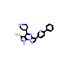 Cc1n[nH]c2c1c(C1CCNCC1)nc1c(-c3ccc(-c4ccccc4)nc3)cnn12